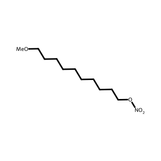 COCCCCCCCCCCO[N+](=O)[O-]